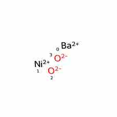 [Ba+2].[Ni+2].[O-2].[O-2]